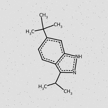 CC(C)c1n[nH]c2cc(C(C)(C)C)ccc12